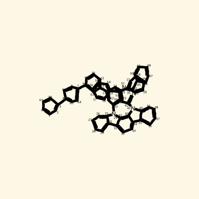 c1ccc(-c2ccc(-c3cccc(-c4cc(-c5ccccc5)cc(-n5c6ccccc6c6ccc7c8ccccc8n(-c8nc(-c9ccccc9)nc(-c9ccccc9)n8)c7c65)c4)c3)cc2)cc1